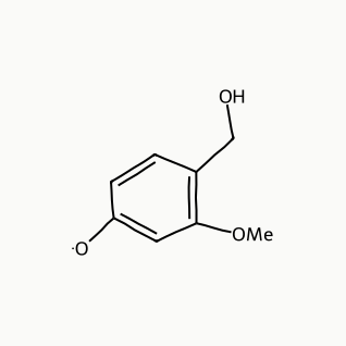 COc1cc([O])ccc1CO